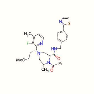 COCC[C@H](c1nccc(C)c1F)N1C[C@@H](C)N(C(=O)C(C)C)[C@@H](C(=O)NCc2ccc(-c3nccs3)cc2)C1